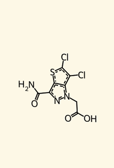 NC(=O)c1nn(CC(=O)O)c2c(Cl)c(Cl)sc12